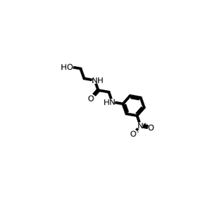 O=C(CNc1cccc([N+](=O)[O-])c1)NCCO